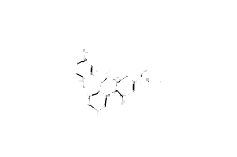 C[n+]1c2c3c(cccc3c3c(F)cc(C(=O)O)cc31)Oc1ccc(F)cc1-2